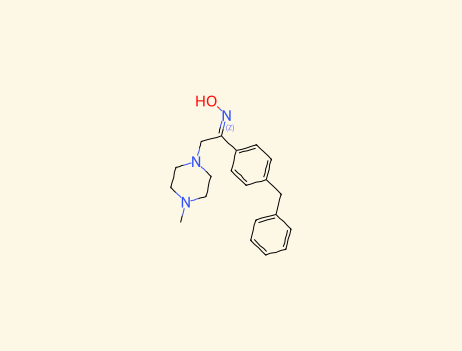 CN1CCN(C/C(=N\O)c2ccc(Cc3ccccc3)cc2)CC1